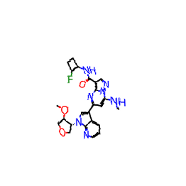 CNc1cc(-c2cn([C@@H]3COC[C@H]3OC)c3ncccc23)nc2c(C(=O)NC3CCC3F)cnn12